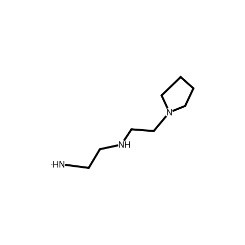 [NH]CCNCCN1CCCC1